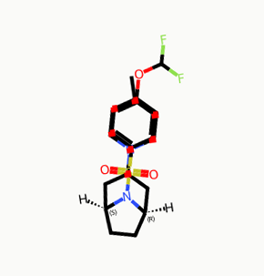 CC1CCN(C2C[C@H]3CC[C@@H](C2)N3S(=O)(=O)c2ccc(OC(F)F)cc2)CC1